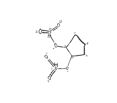 O=[SH](=O)OC1CCCC1O[SH](=O)=O